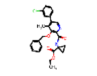 CCOC(=O)C1(NC(=O)c2ncc(-c3cccc(Cl)c3)c(C)c2OCc2ccccc2)CC1